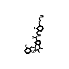 CC1c2ccc(C(=O)NCc3cccc(OCCO)c3F)cc2N(Cc2c(F)cccc2Cl)C(=O)N1C